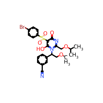 COCC(c1cccc(C#N)c1)n1c(COC(C)C)nc(=O)c(S(=O)(=O)c2ccc(Br)cc2)c1O